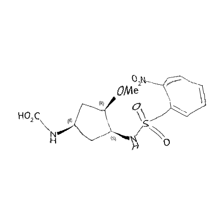 CO[C@@H]1C[C@H](NC(=O)O)C[C@@H]1NS(=O)(=O)c1ccccc1[N+](=O)[O-]